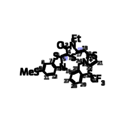 CCn1c(=O)/c(=C2\Sc3cc(SC)ccc3N2C)s/c1=C\c1scc[n+]1Cc1ccccc1SC(F)(F)F